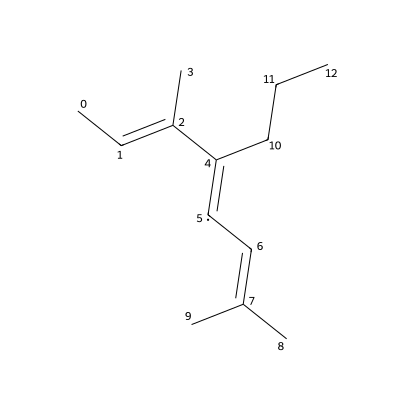 CC=C(C)/C(=[C]/C=C(C)C)CCC